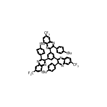 CC(C)(C)c1ccc(-c2nc3cc(C(F)(F)F)ccc3nc2-c2cc(-c3nc4ccc(C(F)(F)F)cc4nc3-c3ccc(C(C)(C)C)cc3)cc(-c3nc4ccc(C(F)(F)F)cc4nc3-c3ccc(C(C)(C)C)cc3)c2)cc1